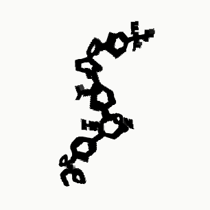 CCS(=O)(=O)c1ccc([C@H](CC#N)NC(=O)c2ccc(N3CC[C@@H](Oc4ccc(C(F)(F)F)cc4)C3)c(F)c2)cc1